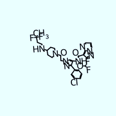 CC(F)(F)CCNC1CCN(C(=O)Cn2cc(NC(=O)c3cnn4cccnc34)c(-c3cc(Cl)ccc3OC(F)F)n2)CC1